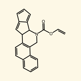 C=COC(=O)N1Cc2c(ccc3ccccc23)C2C=C3C=CC=C3C21